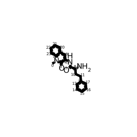 Cn1c(=O)c(NC(=O)[C@H](N)CCc2ccccc2)cc2ccccc21